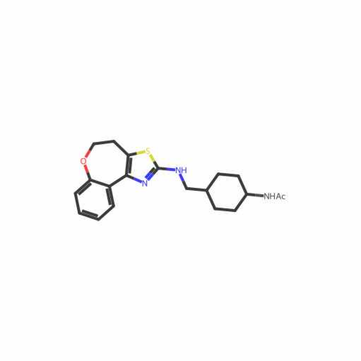 CC(=O)NC1CCC(CNc2nc3c(s2)CCOc2ccccc2-3)CC1